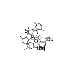 CC1=C2c3c(C)ccc(C)c3[CH]1[Zr]([O]c1ccc(C)cc1C(C)(C)C)([O]c1ccc(C)cc1C(C)(C)C)[CH]1C(C)=C(c3c(C)ccc(C)c31)[Si]2(C)C